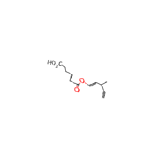 C#CC(C)C=COC(=O)CCCCC(=O)O